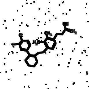 C=C(O)CCc1ccc(CCC2=C(c3ccc(Cl)c(F)c3)CCCC2)c(C)c1C